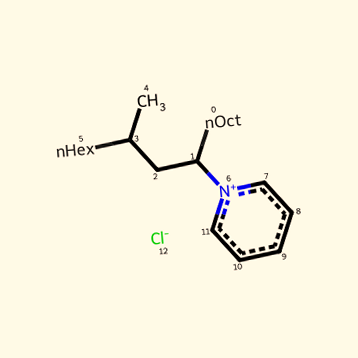 CCCCCCCCC(CC(C)CCCCCC)[n+]1ccccc1.[Cl-]